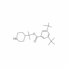 CC(C)(C)c1cc(C(=O)OC(C)(C)C2CCNCC2)cc(C(C)(C)C)c1